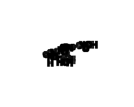 O=C(O)CN1CCC(C2CCN(C(=O)[C@@H](Cc3cc(Cl)c(O)c(C(F)(F)F)c3)OC(=O)N3CCC(N4CCc5ccccc5NC4=O)CC3)CC2)CC1